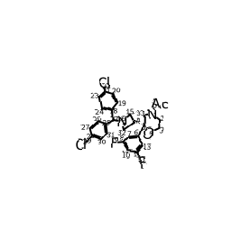 CC(=O)N1CCO[C@](c2cc(F)cc(F)c2)(C2CN(C(c3ccc(Cl)cc3)c3ccc(Cl)cc3)C2)C1